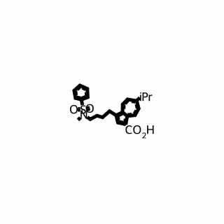 CC(C)c1ccc2c(CCCCN(C)S(=O)(=O)c3ccccc3)cc(C(=O)O)c-2cc1